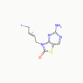 Nc1ncc2sc(=O)n(C/C=C/CI)c2n1